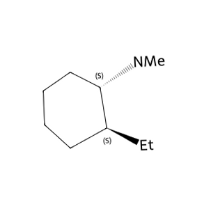 CC[C@H]1CCCC[C@@H]1NC